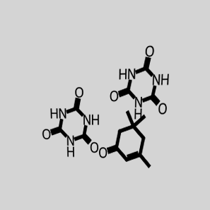 CC1=CC(=O)CC(C)(C)C1.O=c1[nH]c(=O)[nH]c(=O)[nH]1.O=c1[nH]c(=O)[nH]c(=O)[nH]1